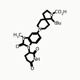 Cn1c(=O)n(C2CCC(=O)NC2=O)c2ccc(N3CCC4(CC3)CCN(C(=O)O)C4C(C)(C)C)cc21